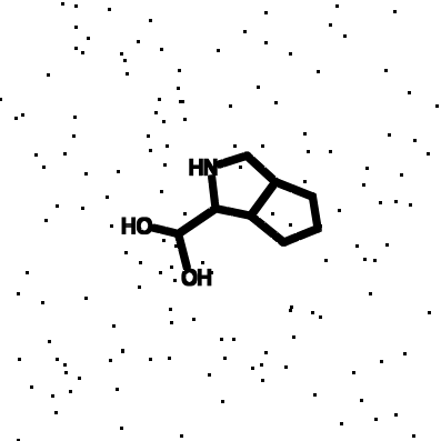 OC(O)C1NCC2CCCC21